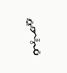 O=C(/C=C/c1cccnc1)NCCC1C2CN(c3ncncn3)CC12